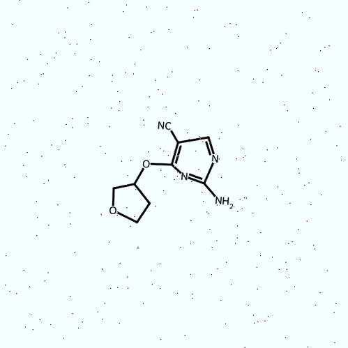 N#Cc1cnc(N)nc1OC1CCOC1